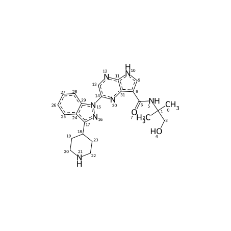 CC(C)(CO)NC(=O)c1c[nH]c2ncc(-n3nc(C4CCNCC4)c4ccccc43)nc12